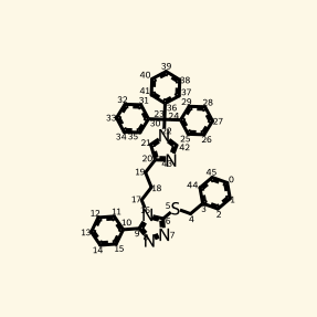 c1ccc(CSc2nnc(-c3ccccc3)n2CCCc2cn(C(c3ccccc3)(c3ccccc3)c3ccccc3)cn2)cc1